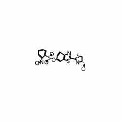 O=C[C@H]1CSC(c2nc3ccc(OS(=O)(=O)c4ccccc4N=O)cc3s2)=N1